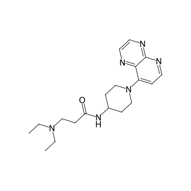 CCN(CC)CCC(=O)NC1CCN(c2ccnc3nccnc23)CC1